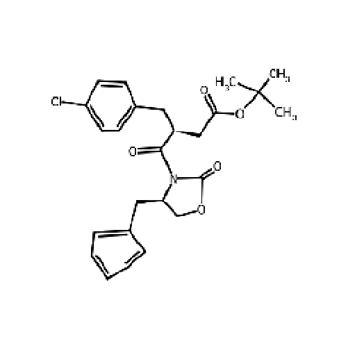 CC(C)(C)OC(=O)C[C@H](Cc1ccc(Cl)cc1)C(=O)N1C(=O)OC[C@H]1Cc1ccccc1